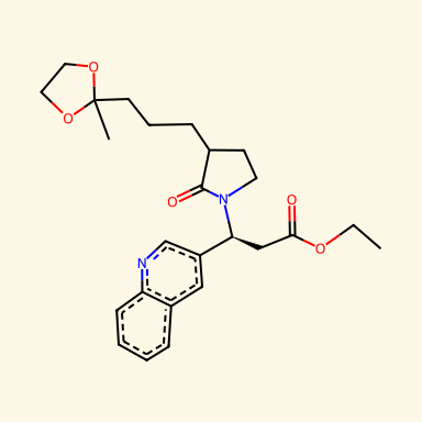 CCOC(=O)C[C@@H](c1cnc2ccccc2c1)N1CCC(CCCC2(C)OCCO2)C1=O